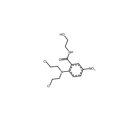 O=C(NCCO)c1cc([N+](=O)[O-])ccc1N(CCCl)CCCl